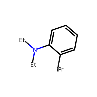 CCN(CC)c1ccccc1C(C)C